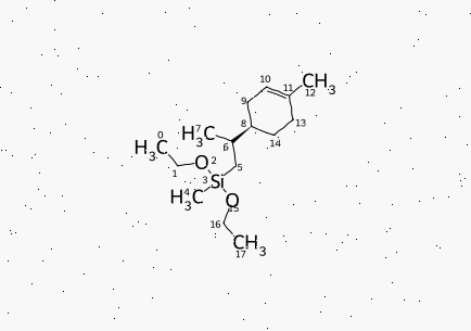 CCO[Si](C)(CC(C)[C@H]1CC=C(C)CC1)OCC